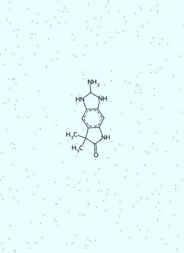 CC1(C)C(=O)Nc2cc3c(cc21)NC(N)N3